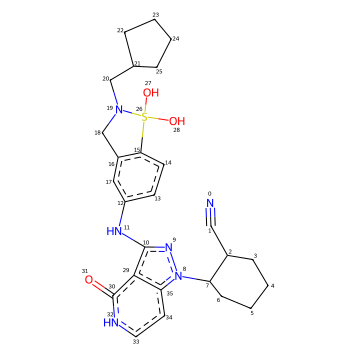 N#CC1CCCCC1n1nc(Nc2ccc3c(c2)CN(CC2CCCC2)S3(O)O)c2c(=O)[nH]ccc21